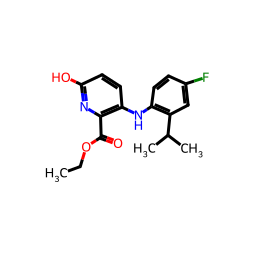 CCOC(=O)c1nc(O)ccc1Nc1ccc(F)cc1C(C)C